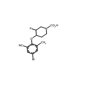 Cc1cc(Br)cc(C#N)c1OC1CCN(C(=O)O)CC1F